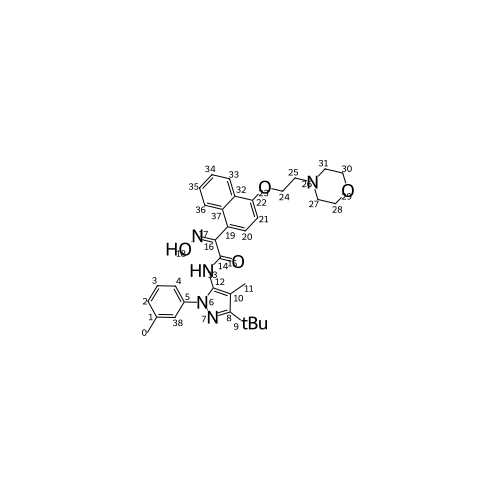 Cc1cccc(-n2nc(C(C)(C)C)c(C)c2NC(=O)C(=NO)c2ccc(OCCN3CCOCC3)c3ccccc23)c1